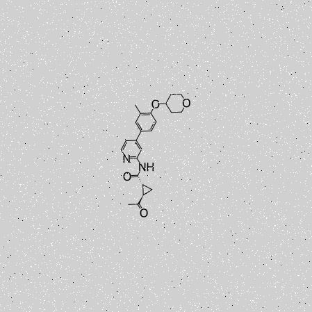 CC(=O)[C@@H]1C[C@H]1C(=O)Nc1cc(-c2ccc(OC3CCOCC3)c(C)c2)ccn1